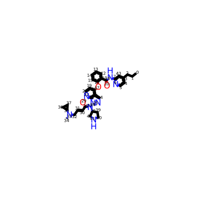 CCCc1ccnc(NC(=O)c2ccccc2Oc2ccnc3c2cnn3N(C(=O)/C=C/CN(C)C2CC2)C2CCNC2)c1